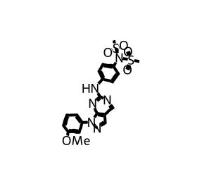 COc1cccc(-n2ncc3cnc(Nc4ccc(N(S(C)(=O)=O)S(C)(=O)=O)cc4)nc32)c1